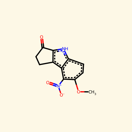 COc1ccc2[nH]c3c(c2c1[N+](=O)[O-])CCC3=O